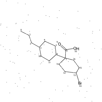 CCCC1CCC(C2(C(=O)O)CCC(Br)CC2)CC1